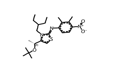 CCC(CC)Cn1c([C@@H](C)OC(C)(C)C)csc1=Nc1ccc([N+](=O)[O-])c(C)c1C